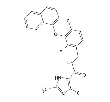 Cc1nc(Cl)c(C(=O)NCc2ccc(Cl)c(Oc3cccc4ccccc34)c2F)[nH]1